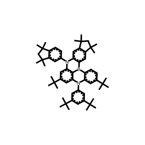 CC(C)(C)c1cc(N2c3cc(C(C)(C)C)ccc3B3c4cc5c(cc4N(c4ccc6c(c4)C(C)(C)CC6(C)C)c4cc(C(C)(C)C)cc2c43)C(C)(C)CC5(C)C)cc(C(C)(C)C)c1